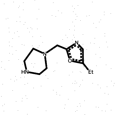 CCc1cnc(CN2CCNCC2)o1